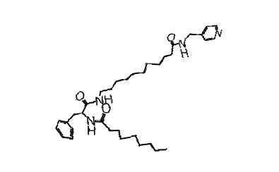 CCCCCCCCC(=O)N[C@@H](Cc1ccccc1)C(=O)NCCCCCCCCCCC(=O)NCc1ccncc1